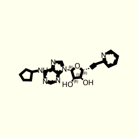 O[C@@H]1[C@H](O)[C@@H](C#Cc2ccccn2)O[C@H]1n1cnc2c(NC3CCCC3)ncnc21